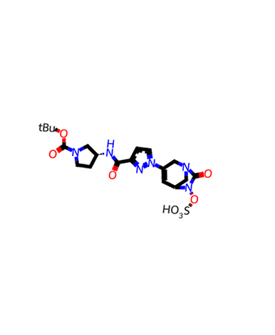 CC(C)(C)OC(=O)N1CC[C@@H](NC(=O)c2ccn(C3=CC4CN(C3)C(=O)N4OS(=O)(=O)O)n2)C1